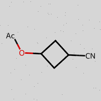 CC(=O)OC1CC(C#N)C1